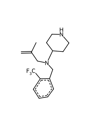 C=C(C)CN(Cc1ccccc1C(F)(F)F)C1CCNCC1